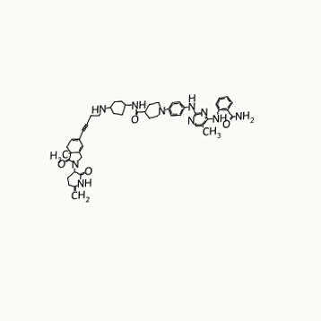 C=C1CCC(N2CC3=CC(C#CCCNC4CCC(NC(=O)C5CCN(c6ccc(Nc7ncc(C)c(Nc8ccccc8C(N)=O)n7)cc6)CC5)CC4)=CCC3(C)C2=O)C(=O)N1